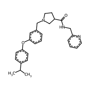 CC(C)c1ccc(Oc2cccc(CN3CCC(C(=O)NCc4ccccn4)C3)c2)cc1